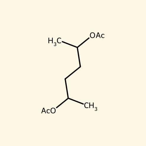 CC(=O)OC(C)CCC(C)OC(C)=O